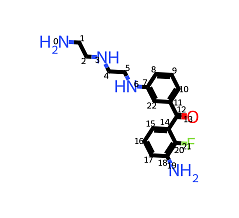 NCCNCCNc1cccc(C(=O)c2cccc(N)c2F)c1